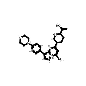 C=C(O)C1CCC(c2cc(N)n3ncc(-c4ccc(N5CCOCC5)nc4)c3n2)CN1